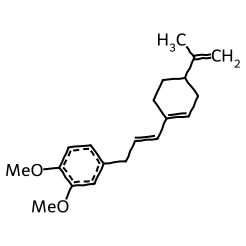 C=C(C)C1CC=C(C=CCc2ccc(OC)c(OC)c2)CC1